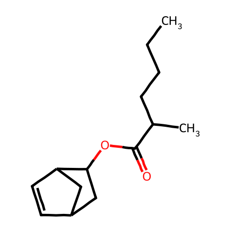 CCCCC(C)C(=O)OC1CC2C=CC1C2